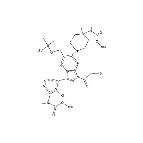 CN(C(=O)OC(C)(C)C)c1nccc(-c2nn(C(=O)OC(C)(C)C)c3nc(N4CCC(C)(NC(=O)OC(C)(C)C)CC4)c(CO[Si](C)(C)C(C)(C)C)nc23)c1Cl